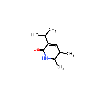 CC(C)C1=CC(C)C(C)NC1=O